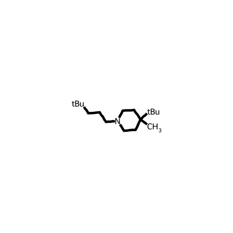 CC(C)(C)CCCN1CCC(C)(C(C)(C)C)CC1